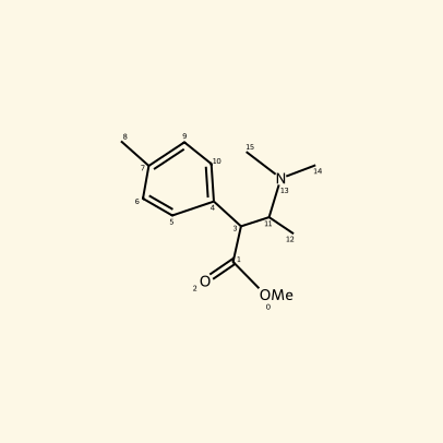 COC(=O)C(c1ccc(C)cc1)C(C)N(C)C